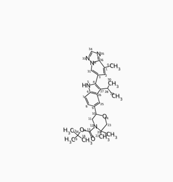 Cc1cc(-c2[nH]c3ccc(C4CN(C(=O)OC(C)(C)C)C(C)(C)CO4)cc3c2C(C)C)cn2ncnc12